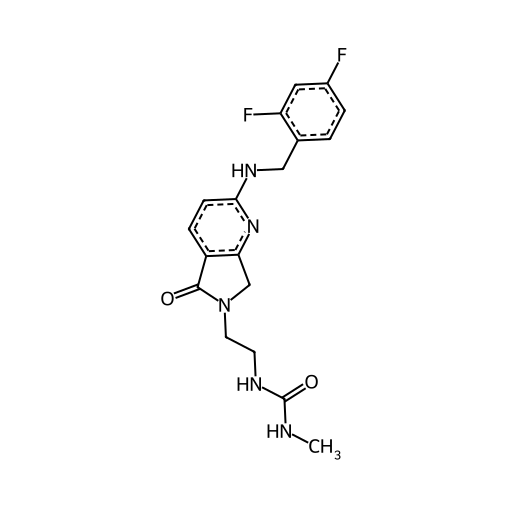 CNC(=O)NCCN1Cc2nc(NCc3ccc(F)cc3F)ccc2C1=O